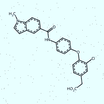 Cn1ccc2cc(C(=O)Nc3ccc(Oc4ccc(CC(=O)O)cc4Cl)cc3)ccc21